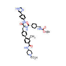 Cc1cc(C(=O)NC2CCN(C(=O)O)CC2)ccc1-c1ccc(C[C@H](NC(=O)[C@H]2CC[C@H](CNC(=O)OC(C)(C)C)CC2)C(=O)Nc2ccc(-c3c[nH]cn3)cc2)cc1